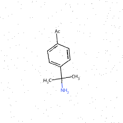 CC(=O)c1ccc(C(C)(C)N)cc1